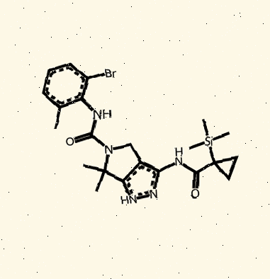 Cc1cccc(Br)c1NC(=O)N1Cc2c(NC(=O)C3([Si](C)(C)C)CC3)n[nH]c2C1(C)C